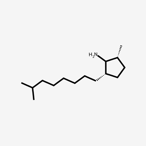 CC(C)CCCCCC[C@H]1CC[C@@H](C)C1N